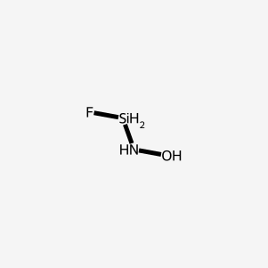 ON[SiH2]F